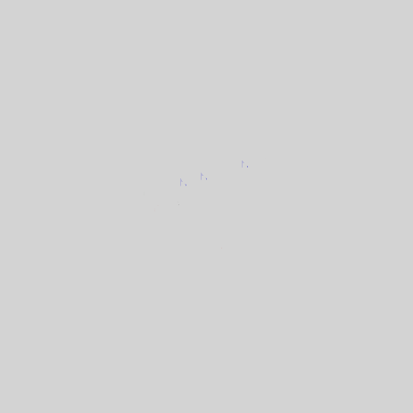 COc1ccccc1C1CC(c2ccccn2)=NN(c2ccccc2Br)C1=O